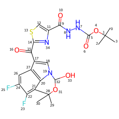 CC(C)(C)OC(=O)NNC(=O)c1csc(C(=O)c2cn3c4c(c(F)c(F)cc24)C(C)(C)OC3O)n1